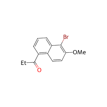 CCC(=O)c1cccc2c(Br)c(OC)ccc12